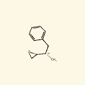 C[C@@H](Cc1ccccc1)C1CO1